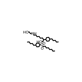 CCCCCC1CCC(C(CCCCCCNCCO)C(=O)O)CC1.CCCCCCCC(=O)OC1CCC(CCCCC)CC1